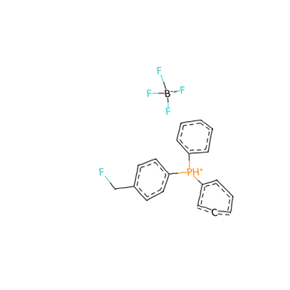 FCc1ccc([PH+](c2ccccc2)c2ccccc2)cc1.F[B-](F)(F)F